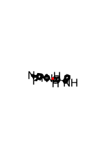 N#Cc1ccc(N2CCN([C@H]3C[C@H]4C[C@@H](c5c[nH]c6ccccc56)C[C@H]4C3)CC2)cc1F